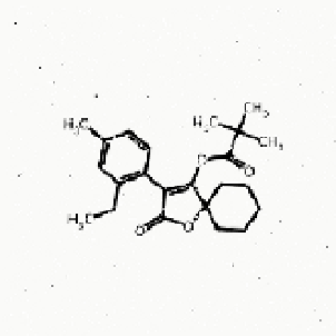 CCc1cc(C)ccc1C1=C(OC(=O)C(C)(C)C)C2(CCCCC2)OC1=O